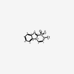 CCN1C=Cn2c(nc3ccccc32)S1(=O)=O